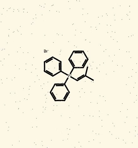 CC(C)=C[P+](c1ccccc1)(c1ccccc1)c1ccccc1.[Br-]